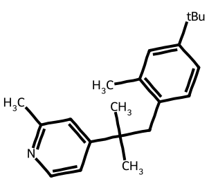 Cc1cc(C(C)(C)Cc2ccc(C(C)(C)C)cc2C)ccn1